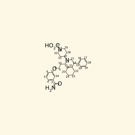 NC(=O)c1cccc(OCCCN(CC(c2ccccc2)C2CCCCC2)C2CCN(C(=O)O)CC2)c1